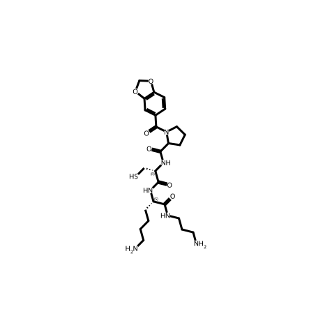 NCCCC[C@H](NC(=O)[C@H](CS)NC(=O)C1CCCN1C(=O)c1ccc2c(c1)OCO2)C(=O)NCCCN